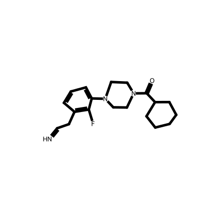 N=CCc1cccc(N2CCN(C(=O)C3CCCCC3)CC2)c1F